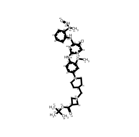 COc1cc(N2CCC(CN3CC(C(=O)OC(C)(C)C)C3)CC2)ccc1Nc1ncc(Cl)c(Nc2ccccc2N(C)[SH]=O)n1